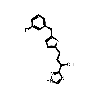 OC(CCc1ccc(Cc2cccc(F)c2)s1)c1nc[nH]n1